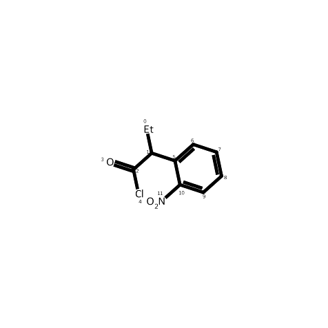 CCC(C(=O)Cl)c1ccccc1[N+](=O)[O-]